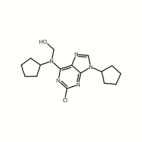 OCN(c1nc(Cl)nc2c1ncn2C1CCCC1)C1CCCC1